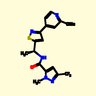 COc1cc(-c2cc([C@H](C)NC(=O)c3cc(C(F)(F)F)nn3C)sn2)ccn1